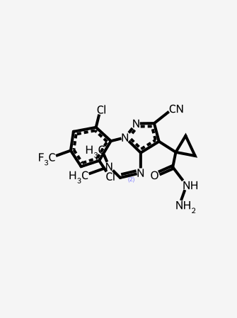 CN(C)/C=N\c1c(C2(C(=O)NN)CC2)c(C#N)nn1-c1c(Cl)cc(C(F)(F)F)cc1Cl